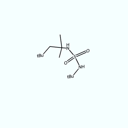 CC(C)(C)CC(C)(C)NS(=O)(=O)NC(C)(C)C